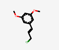 COc1cc(C=CCCl)cc(OC)c1